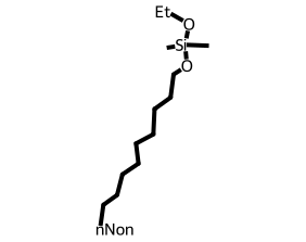 CCCCCCCCCCCCCCCCCCO[Si](C)(C)OCC